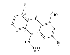 O=Cc1cc(Br)ccc1Sc1c(Cl)cccc1CNC(=O)O